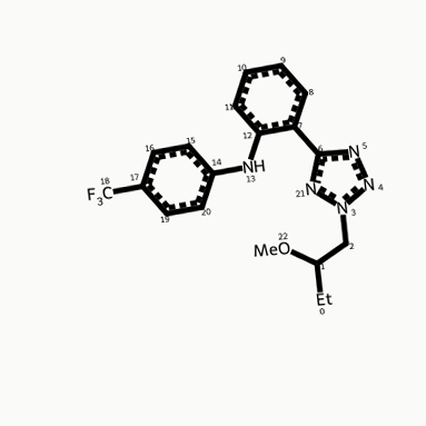 CCC(Cn1nnc(-c2ccccc2Nc2ccc(C(F)(F)F)cc2)n1)OC